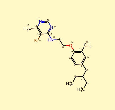 CCC(CC)Cc1ccc(OCCNc2ncnc(C)c2Br)c(C)c1